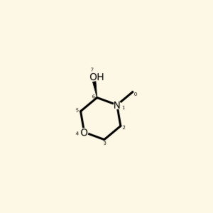 CN1CCOC[C@H]1O